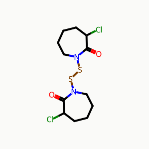 O=C1C(Cl)CCCCN1SSN1CCCCC(Cl)C1=O